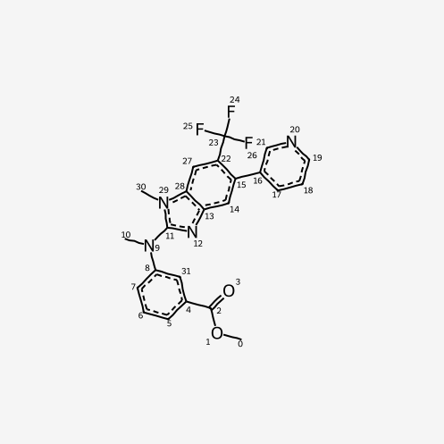 COC(=O)c1cccc(N(C)c2nc3cc(-c4cccnc4)c(C(F)(F)F)cc3n2C)c1